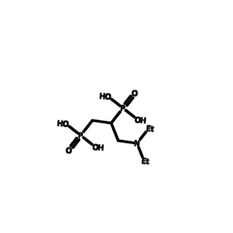 CCN(CC)CC(CP(=O)(O)O)P(=O)(O)O